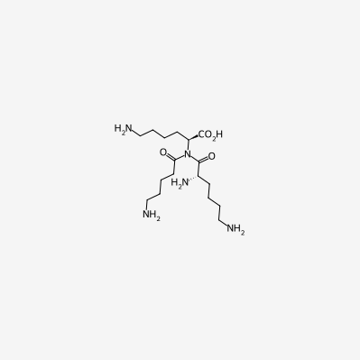 NCCCCC(=O)N(C(=O)[C@@H](N)CCCCN)[C@@H](CCCCN)C(=O)O